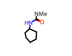 CNC(=O)NC1CC[CH]CC1